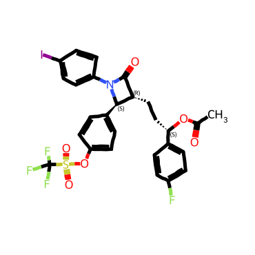 CC(=O)O[C@@H](CC[C@H]1C(=O)N(c2ccc(I)cc2)[C@@H]1c1ccc(OS(=O)(=O)C(F)(F)F)cc1)c1ccc(F)cc1